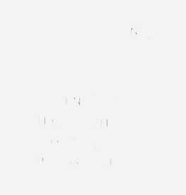 CCOP(=O)(OCC)C(C)(C)NC(=O)c1cccc(N)c1